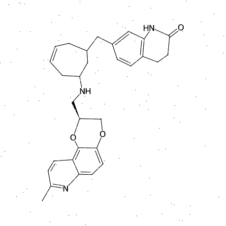 Cc1ccc2c3c(ccc2n1)OC[C@H](CNC1CC=CCC(Cc2ccc4c(c2)NC(=O)CC4)C1)O3